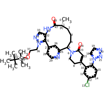 C[C@@H]1CCCC(N2CCC(c3cc(Cl)ccc3-n3ccnn3)=CC2=O)c2cc(ccn2)-c2c(cnn2CCO[Si](C)(C)C(C)(C)C)NC1=O